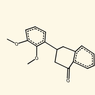 COc1cccc(C2CC(=O)c3ccccc3C2)c1OC